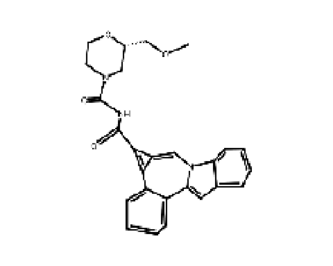 COC[C@@H]1CN(C(=O)NC(=O)C2=C3C2=Cn2c(cc4ccccc42)-c2ccccc23)CCO1